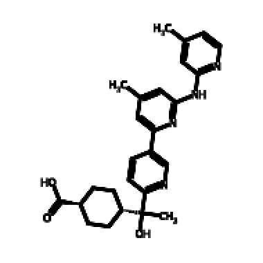 Cc1ccnc(Nc2cc(C)cc(-c3ccc(C(C)(O)[C@H]4CC[C@H](C(=O)O)CC4)nc3)n2)c1